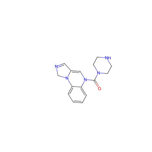 O=C(N1CCNCC1)N1C=C2C=NCN2c2ccccc21